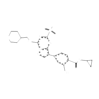 Cc1cc(-c2cnn3c([AsH]CC4CCOCC4)nc(S(C)(=O)=O)nc23)ccc1C(=O)NC1CC1